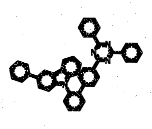 c1ccc(-c2ccc3c(c2)c2ccccc2n3-c2ccccc2-c2ccc(-c3nc(-c4ccccc4)nc(-c4ccccc4)n3)cc2)cc1